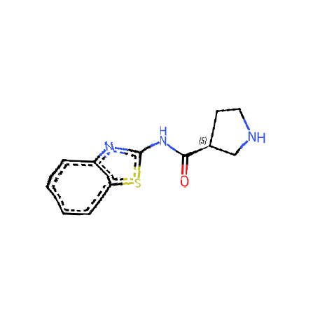 O=C(Nc1nc2ccccc2s1)[C@H]1CCNC1